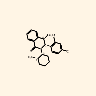 CCOC(=O)[C@@H]1c2ccccc2C(=O)N([C@H]2CCCC[C@@H]2N)[C@H]1c1ccc(Cl)cc1Cl